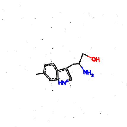 Cc1ccc2c(CC(N)CO)c[nH]c2c1